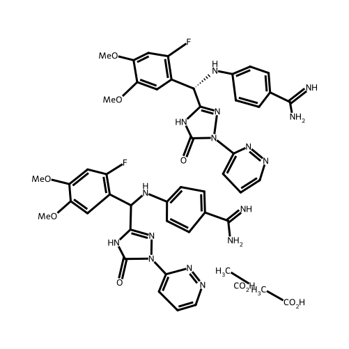 CC(=O)O.CC(=O)O.COc1cc(F)c(C(Nc2ccc(C(=N)N)cc2)c2nn(-c3cccnn3)c(=O)[nH]2)cc1OC.COc1cc(F)c([C@H](Nc2ccc(C(=N)N)cc2)c2nn(-c3cccnn3)c(=O)[nH]2)cc1OC